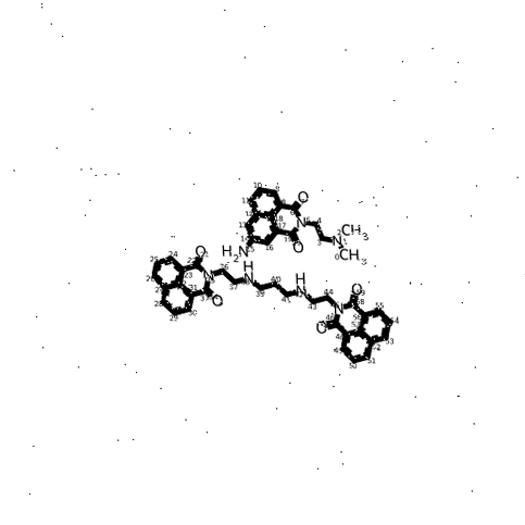 CN(C)CCN1C(=O)c2cccc3cc(N)cc(c23)C1=O.O=C1c2cccc3cccc(c23)C(=O)N1CCNCCCNCCN1C(=O)c2cccc3cccc(c23)C1=O